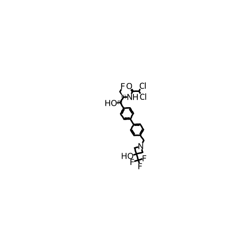 O=C(N[C@H](CF)[C@H](O)c1ccc(-c2ccc(CN3CC(O)(C(F)(F)F)C3)cc2)cc1)C(Cl)Cl